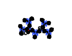 N#Cc1c#cc(-c2cc(-c3nc(-c4ccccc4)nc(-c4ccc(-n5c6ccc(-c7nc(-c8ccccc8)nc(-c8ccccc8)n7)cc6c6cc(-c7nc(-c8ccccc8)nc(-c8ccccc8)n7)ccc65)c(C#N)c4)n3)ccc2-n2c3c(c4cc(-c5nc(-c6ccccc6)nc(-c6ccccc6)n5)ccc42)C=C(c2nc(-c4ccccc4)nc(-c4ccccc4)n2)CC3)cc1